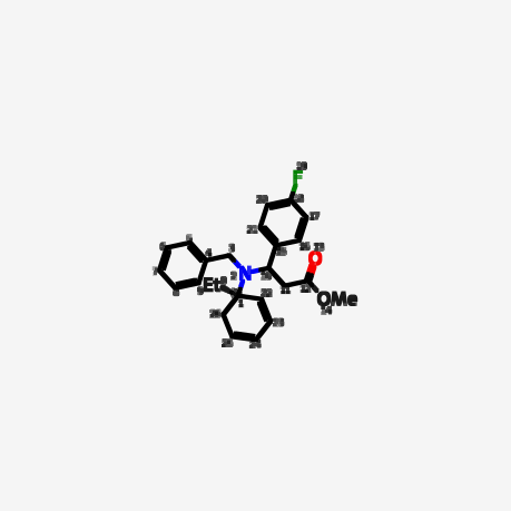 CC[C@@]1(N(Cc2ccccc2)C(CC(=O)OC)c2ccc(F)cc2)C=CC=CC1